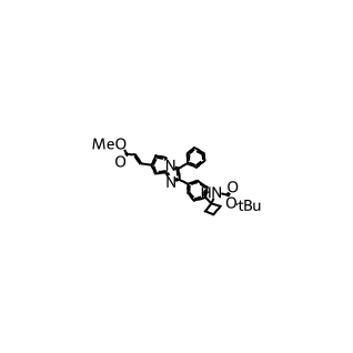 COC(=O)C=Cc1ccn2c(-c3ccccc3)c(-c3ccc(C4(NC(=O)OC(C)(C)C)CCC4)cc3)nc2c1